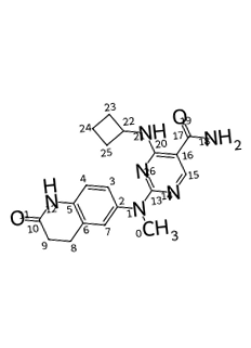 CN(c1ccc2c(c1)CCC(=O)N2)c1ncc(C(N)=O)c(NC2CCC2)n1